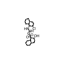 O=S(=O)(ONNc1c(Cl)ccc2ccccc12)c1c(O)ccc2ccccc12